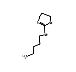 NCCCCNC1=NCCCN1